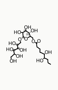 CCCC(O)C(O)CCCC(=O)OCC1O[C@H](OC[C@@H](O)[C@@H](O)[C@H](O)C(O)CO)C(O)[C@@H](O)[C@@H]1O